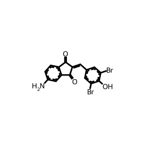 Nc1ccc2c(c1)C(=O)/C(=C\c1cc(Br)c(O)c(Br)c1)C2=O